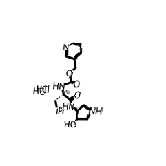 CC(C)C[C@H](NC(=O)OCc1cccnc1)C(=O)NC1CNCC1O.Cl.Cl